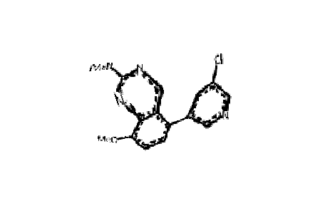 CNc1ncc2c(-c3cncc(Cl)c3)ccc(OC)c2n1